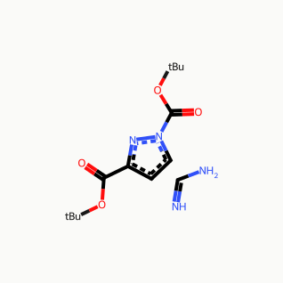 CC(C)(C)OC(=O)c1ccn(C(=O)OC(C)(C)C)n1.N=CN